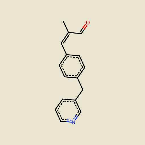 CC(C=O)=Cc1ccc(Cc2cccnc2)cc1